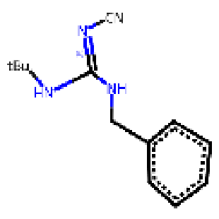 CC(C)(C)N/C(=N/C#N)NCc1ccccc1